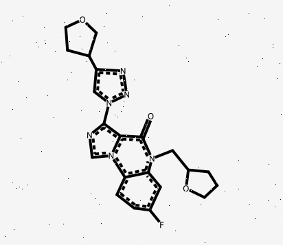 O=c1c2c(-n3cc(C4CCOC4)nn3)ncn2c2ccc(F)cc2n1CC1CCCO1